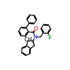 Cc1cccc(-c2ccccc2)c1C(=O)N(Cc1ccccc1F)C1Cc2ccccc2C1